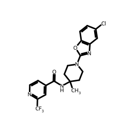 CC1(NC(=O)c2ccnc(C(F)(F)F)c2)CCN(c2nc3cc(Cl)ccc3o2)CC1